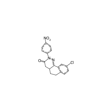 O=C1CC2CCc3ccc(Cl)cc3C2=NN1c1ccc([N+](=O)[O-])cc1